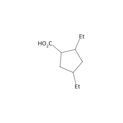 CCC1CC(CC)C(C(=O)O)C1